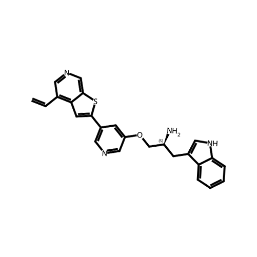 C=Cc1cncc2sc(-c3cncc(OC[C@@H](N)Cc4c[nH]c5ccccc45)c3)cc12